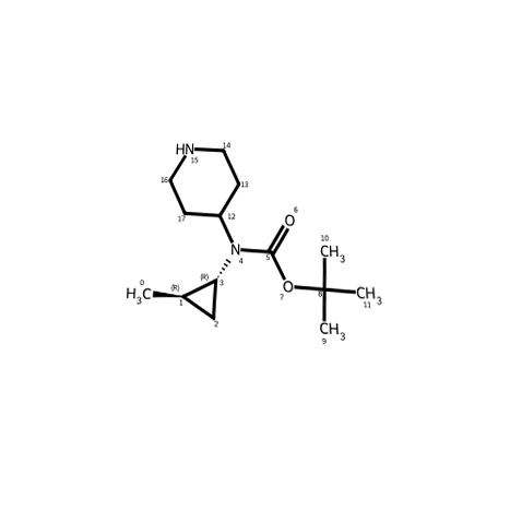 C[C@@H]1C[C@H]1N(C(=O)OC(C)(C)C)C1CCNCC1